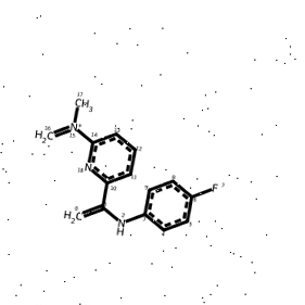 C=C(Nc1ccc(F)cc1)c1cccc([N+](=C)C)n1